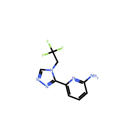 Nc1cccc(-c2nncn2CC(F)(F)F)n1